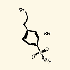 CC(C)CCc1ccc(S(N)(=O)=O)cc1.[KH]